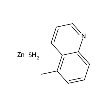 Cc1cccc2ncccc12.S.[Zn]